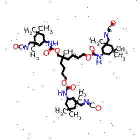 CC1(C)CC(NC(=O)OCCCCC(C)(CCCCOC(=O)NC2CC(C)(C)CC(C)(CN=C=O)C2)COC(=O)NC2CC(C)(C)CC(C)(CN=C=O)C2)CC(C)(CN=C=O)C1